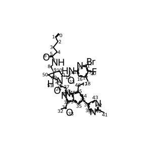 C=CCCCC(=O)NC[C@@]12C[C@@H](C(=O)Nc3cc(C)c(F)c(Br)n3)N(C(=O)Cn3nc(C(C)=O)c4cc(-c5cnc(C)nc5)cc(CC)c43)[C@@H]1C2